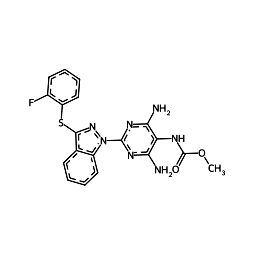 COC(=O)Nc1c(N)nc(-n2nc(Sc3ccccc3F)c3ccccc32)nc1N